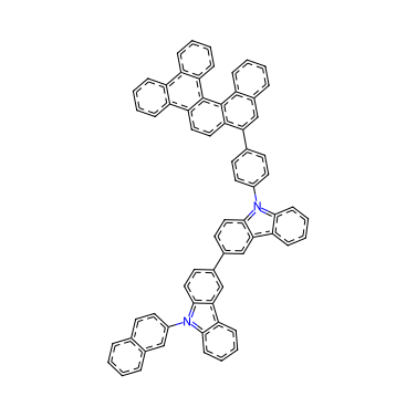 c1ccc2cc(-n3c4ccccc4c4cc(-c5ccc6c(c5)c5ccccc5n6-c5ccc(-c6cc7ccccc7c7c6ccc6c8ccccc8c8ccccc8c67)cc5)ccc43)ccc2c1